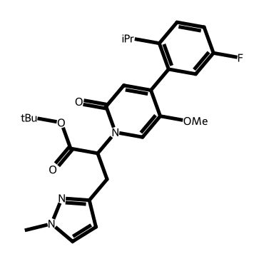 COc1cn(C(Cc2ccn(C)n2)C(=O)OC(C)(C)C)c(=O)cc1-c1cc(F)ccc1C(C)C